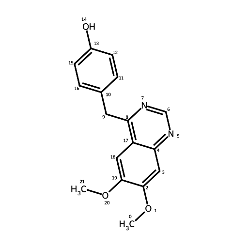 COc1cc2ncnc(Cc3ccc(O)cc3)c2cc1OC